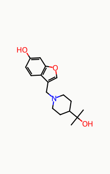 CC(C)(O)C1CCN(Cc2coc3cc(O)ccc23)CC1